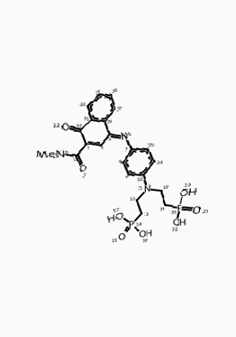 CNC(=O)C1=C/C(=N\c2ccc(N(CCP(=O)(O)O)CCP(=O)(O)O)cc2)c2ccccc2C1=O